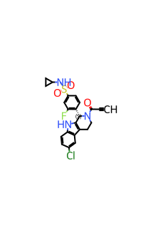 C#CC(=O)N1CCc2c([nH]c3ccc(Cl)cc23)[C@@H]1c1ccc(S(=O)(=O)NC2CC2)cc1F